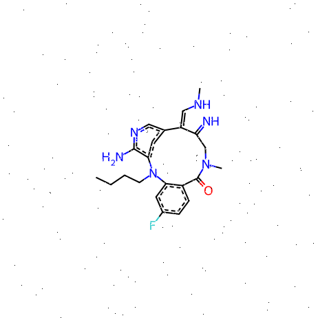 CCCCN1c2cc(F)ccc2C(=O)N(C)CC(=N)/C(=C\NC)c2cnc(N)c1c2